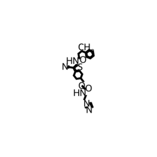 CC(CC(=O)Nc1sc2c(c1C#N)CCC(COC(=O)NCCn1ccnc1)C2)c1ccccc1